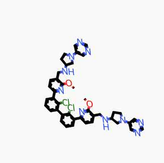 COc1nc(-c2cccc(-c3cccc(-c4ccc(CNC5CCN(c6cncnc6)C5)c(OC)n4)c3Cl)c2Cl)ccc1CNC1CCN(c2cncnc2)C1